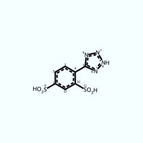 O=S(=O)(O)c1ccc(-c2nn[nH]n2)c(S(=O)(=O)O)c1